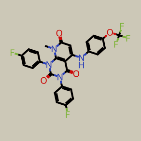 Cn1c(=O)cc(Nc2ccc(OC(F)(F)F)cc2)c2c(=O)n(-c3ccc(F)cc3)c(=O)n(-c3ccc(F)cc3)c21